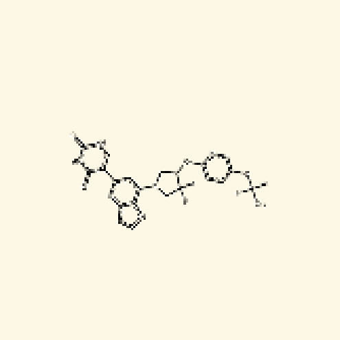 O=c1[nH]cc(-c2cc(N3CC(Oc4ccc(OC(F)(F)C(F)(F)F)cn4)C(F)(F)C3)c3nccn3n2)c(=O)[nH]1